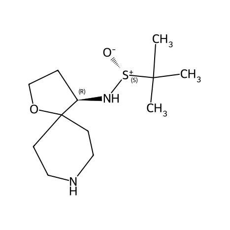 CC(C)(C)[S@@+]([O-])N[C@@H]1CCOC12CCNCC2